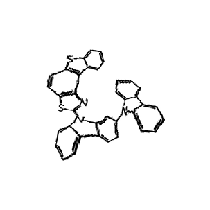 c1ccc2c(c1)sc1ccc3sc(-n4c5ccccc5c5ccc(-n6c7ccccc7c7ccccc76)cc54)nc3c12